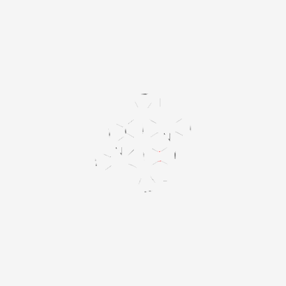 Fc1cccc2c1-c1ccc3c4c(N(c5ccccc5)c5ccccc5)cc5c6c(ccc(c7c(N(c8ccccc8)c8ccccc8)cc-2c1c37)c64)-c1cccc(F)c1-5